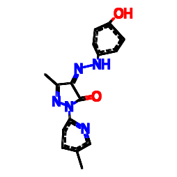 CC1=NN(c2ccc(C)cn2)C(=O)C1=NNc1ccc(O)cc1